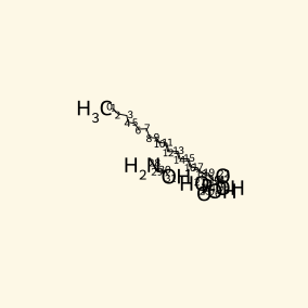 CCCCCCCCCC=CC=CC=CC=CC=CC=C(C(=O)O)P(=O)(O)O.NCCO